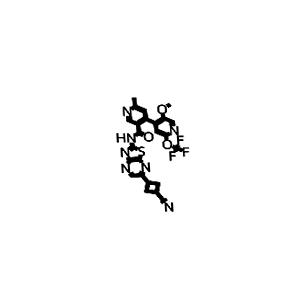 COc1cnc(OC(F)(F)F)cc1-c1cc(C)ncc1C(=O)Nc1nc2ncc(C3CC(C#N)C3)nc2s1